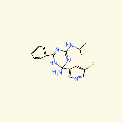 CC(C)NC1=NC(N)(c2cncc(F)c2)NC(c2ccccc2)=N1